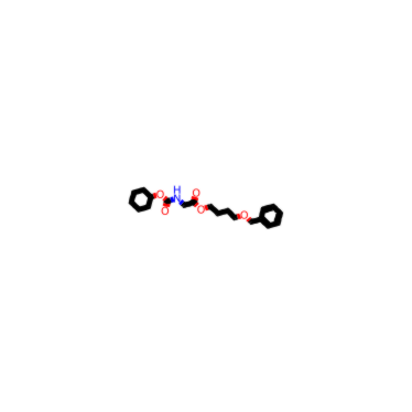 O=C(CNC(=O)OC1CCCCC1)OCCCCOCc1ccccc1